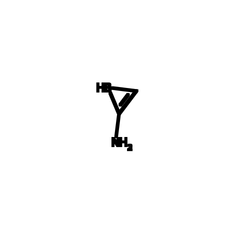 NC1=CB1